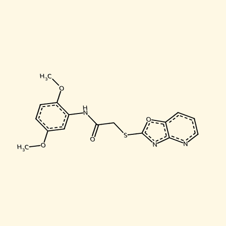 COc1ccc(OC)c(NC(=O)CSc2nc3ncccc3o2)c1